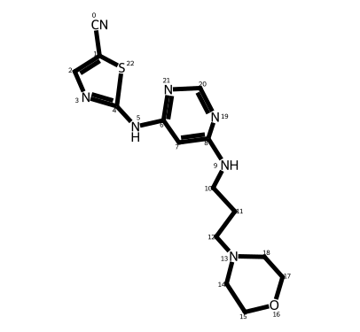 N#Cc1cnc(Nc2cc(NCCCN3CCOCC3)ncn2)s1